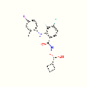 Cc1cc(I)ccc1Nc1c(C(=O)NOC(O)C2CCC2)ccc(F)c1F